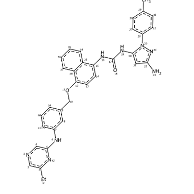 CCc1cncc(Nc2cc(COc3ccc(NC(=O)Nc4cc(N)nn4-c4ccc(C)cc4)c4ccccc34)ccn2)n1